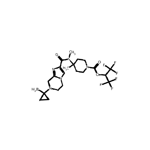 BC1(N2CCn3cc(C(=O)N(C)C4(C)CCN(C(=O)OC(C(F)(F)F)C(F)(F)F)CC4)nc3C2)CC1